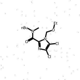 CCCCN(C)C(=O)c1nc(Cl)c(Cl)n1COCC